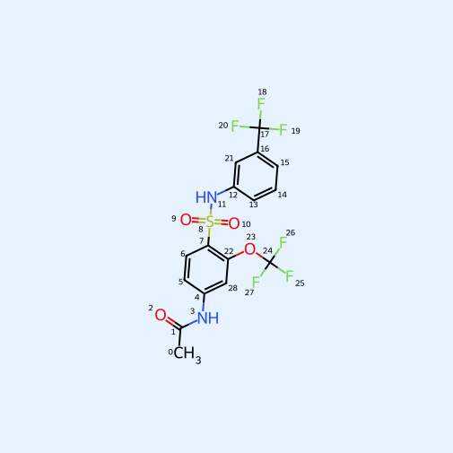 CC(=O)Nc1ccc(S(=O)(=O)Nc2cccc(C(F)(F)F)c2)c(OC(F)(F)F)c1